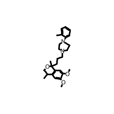 COc1cc2c(cc1OC)C(C)(CCCN1CCN(c3ccccc3C)CC1)OCC2C